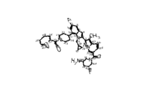 Cc1c(-c2cc3cc(F)cc(C4CCN(C(=O)C5CCCCO5)CC4)c3n2CC2CC2)nn2cc(C(=O)N3C[C@H](N)C[C@@H](F)C3)ccc12